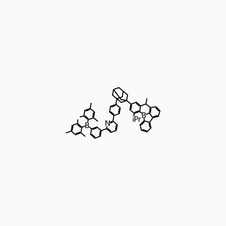 Cc1cc(C)c(B(c2cccc(-c3cccc(-c4ccc(C56CC7CC(C5)CC(c5cc(C(C)C)c8c(c5)C(C)c5cccc9c5B8c5ccccc5-9)(C7)C6)cc4)n3)c2)c2c(C)cc(C)cc2C)c(C)c1